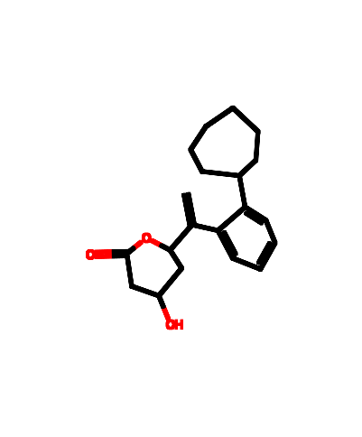 C=C(c1ccccc1C1CCCCCC1)C1CC(O)CC(=O)O1